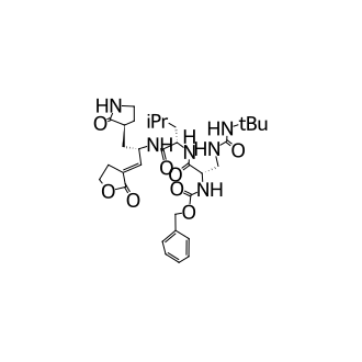 CC(C)C[C@H](NC(=O)[C@H](CNC(=O)NC(C)(C)C)NC(=O)OCc1ccccc1)C(=O)N[C@H](/C=C1\CCOC1=O)C[C@@H]1CCNC1=O